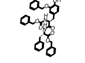 O=C(N[C@@H](Cc1ccc(O)c(OCc2ccccc2)c1)C(=O)N[C@@H](Cc1ccccc1)C(=O)OCc1ccccc1)OCc1ccccc1